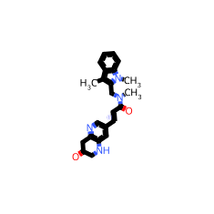 Cc1c(CN(C)C(=O)/C=C/c2cnc3c(c2)NCC(=O)C3)n(C)c2ccccc12